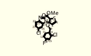 COC(=O)C1SC=CC1(OCc1ccc(F)cc1Cl)n1cnc2ccc(Cl)cc21